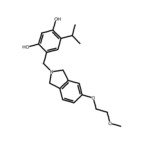 COCCOc1ccc2c(c1)CN([C]c1cc(C(C)C)c(O)cc1O)C2